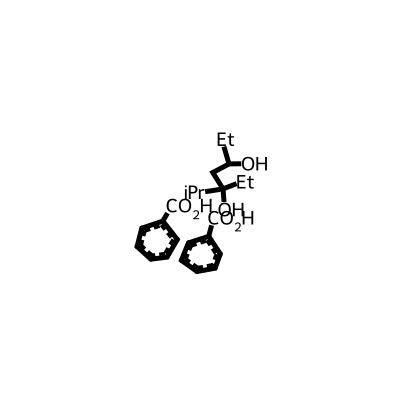 CCC(O)CC(O)(CC)C(C)C.O=C(O)c1ccccc1.O=C(O)c1ccccc1